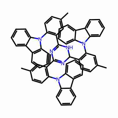 Cc1ccc(-n2c3c#cccc3c3ccccc32)c(C2=NC(c3cc(C)ccc3-n3c4ccccc4c4ccccc43)=NC(c3ccc(C)cc3-n3c4ccccc4c4ccccc43)N2)c1